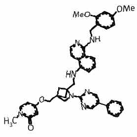 COc1ccc(CNc2nccc3c(NCC45CC(COc6ccn(C)c(=O)c6)(CN4c4ncc(-c6ccccc6)cn4)C5)cccc23)c(OC)c1